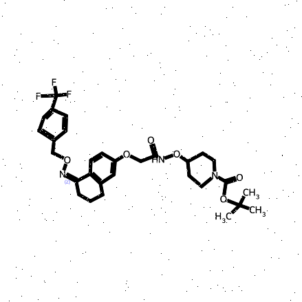 CC(C)(C)OC(=O)N1CCC(ONC(=O)COc2ccc3c(c2)CCC/C3=N/OCc2ccc(C(F)(F)F)cc2)CC1